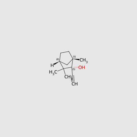 C#C[C@@]1(O)C(C)(C)[C@@H]2CC[C@@]1(C)C2